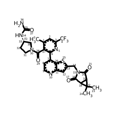 Cc1cc(C(F)(F)F)nc(-c2ccnc3cc(CN4C(=O)C5C(C4=O)C5(C)C)sc23)c1C(=O)N1CC[C@H](NC(N)=O)C1